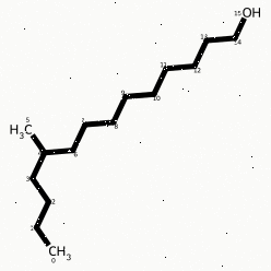 CCCCC(C)CCCCCCCCCO